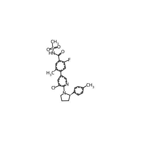 Cc1ccc([C@H]2CCCN2c2ncc(-c3cc(F)c(C(=O)NS(C)(=O)=O)cc3C)cc2Cl)cc1